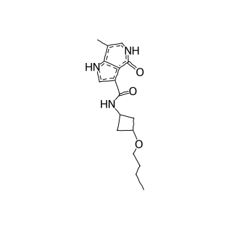 CCCCOC1CC(NC(=O)c2c[nH]c3c(C)c[nH]c(=O)c23)C1